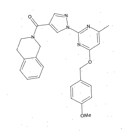 COc1ccc(COc2cc(C)nc(-n3cc(C(=O)N4CCc5ccccc5C4)cn3)n2)cc1